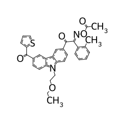 CCOCCn1c2ccc(C(=O)/C(=N/OC(C)=O)c3ccccc3C)cc2c2cc(C(=O)c3cccs3)ccc21